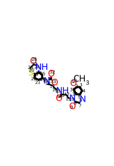 COc1ccc2ncc(=O)n(CCC(=O)NCC3CN(c4ccc5c(c4)NC(=O)CS5)C(=O)O3)c2c1